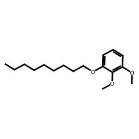 CCCCCCCC[CH]Oc1cccc(OC)c1OC